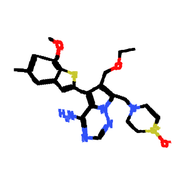 CCOCc1c(-c2cc3cc(C)cc(OC)c3s2)c2c(N)ncnn2c1CN1CC[S+]([O-])CC1